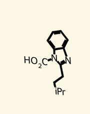 CC(C)CCc1nc2ccccc2n1C(=O)O